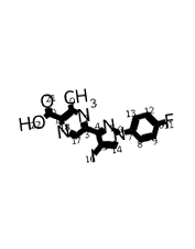 Cc1nc(-c2nn(-c3ccc(F)cc3)cc2I)cnc1C(=O)O